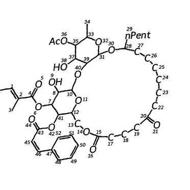 C/C=C(\C)C(=O)OC1C(O)C2OC(COC(=O)CCCC(=O)CCCCCCC(CCCCC)OC3OC(C)C(OC(C)=O)C(O)C3O2)C1OC(=O)/C=C\c1ccccc1